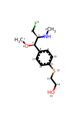 CN[C@H](CF)[C@H](OC)c1ccc(SCCO)cc1